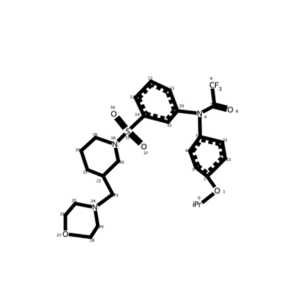 CC(C)Oc1ccc(N(C(=O)C(F)(F)F)c2cccc(S(=O)(=O)N3CCCC(CN4CCOCC4)C3)c2)cc1